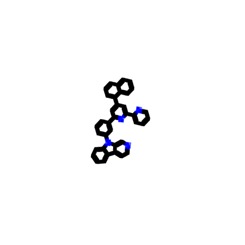 c1ccc(-c2cc(-c3cccc4ccccc34)cc(-c3cccc(-n4c5ccccc5c5ccncc54)c3)n2)nc1